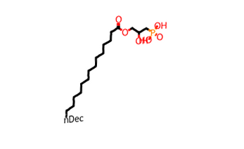 CCCCCCCCCCCCCCCCCCCCCCCC(=O)OCC(O)CP(=O)(O)O